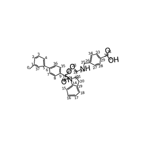 Cc1cccc(-c2ccc(S(=O)(=O)N3c4ccccc4C[C@H]3C(=O)NCc3ccc(C(=O)O)cc3)cc2)c1